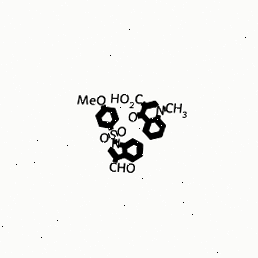 COc1ccc(S(=O)(=O)n2cc(C=O)c3ccccc32)cc1.Cn1cc(C(=O)O)c(=O)c2ccccc21